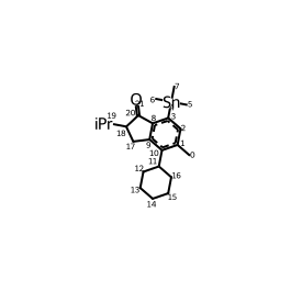 Cc1c[c]([Sn]([CH3])([CH3])[CH3])c2c(c1C1CCCCC1)CC(C(C)C)C2=O